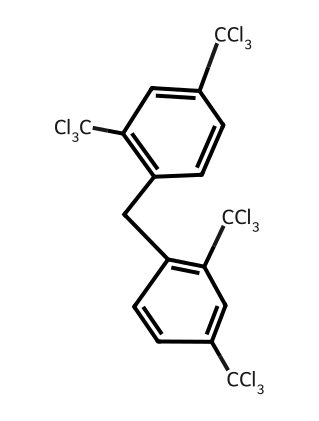 ClC(Cl)(Cl)c1ccc(Cc2ccc(C(Cl)(Cl)Cl)cc2C(Cl)(Cl)Cl)c(C(Cl)(Cl)Cl)c1